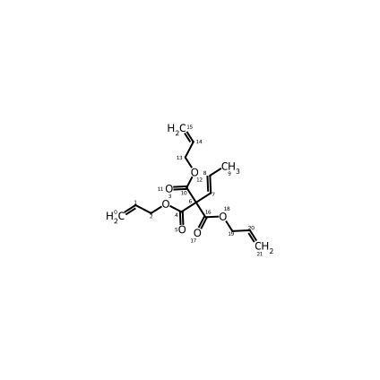 C=CCOC(=O)C(C=CC)(C(=O)OCC=C)C(=O)OCC=C